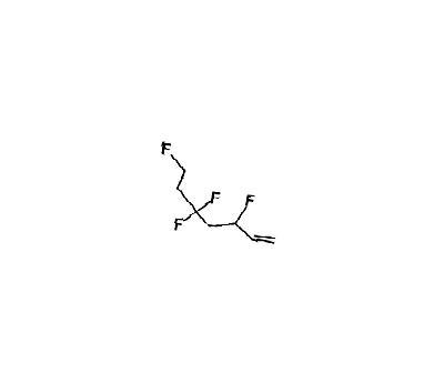 C=CC(F)CC(F)(F)CCF